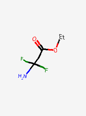 CCOC(=O)C(N)(F)F